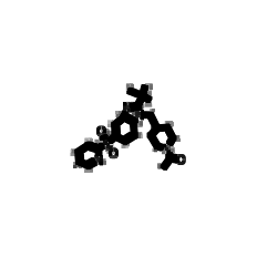 CC(=O)N1CCC(Cn2c(C(C)(C)C)nc3cc(S(=O)(=O)c4ccccn4)ccc32)CC1